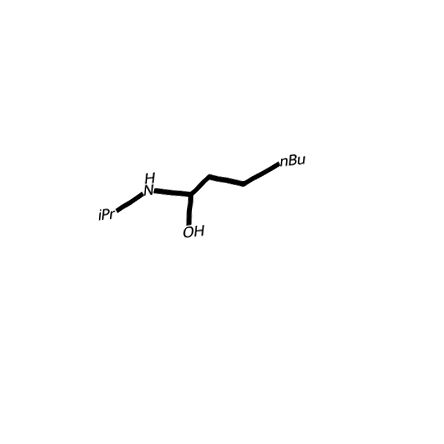 CCCCCCC(O)NC(C)C